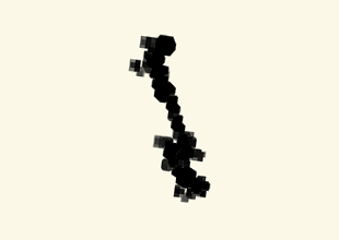 Cc1ncsc1-c1ccc(CNC(=O)[C@@H]2C[C@@H](O)CN2C(=O)C(c2cc(OCCCOCCCN3CCC(Cn4cc(-c5cc(-c6ccccc6O)nnc5N)cn4)CC3)no2)C(C)C)cc1